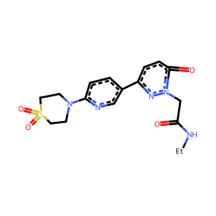 CCNC(=O)Cn1nc(-c2ccc(N3CCS(=O)(=O)CC3)nc2)ccc1=O